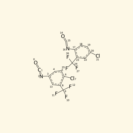 O=C=Nc1ccc(Cl)c(C(F)(F)F)c1.O=C=Nc1ccc(Cl)cc1C(F)(F)F